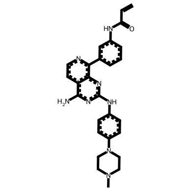 C=CC(=O)Nc1cccc(-c2nccc3c(N)nc(Nc4ccc(N5CCN(C)CC5)cc4)nc23)c1